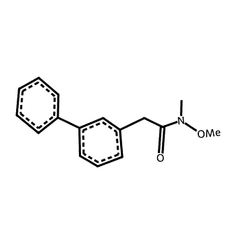 CON(C)C(=O)Cc1cccc(-c2ccccc2)c1